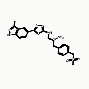 Cc1n[nH]c2ccc(-c3nnc(NC[C@@H](N)Cc4ccc(CS(C)(=O)=O)cc4)s3)cc12